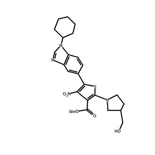 COC(=O)c1c(N2CCC(CO)C2)sc(-c2ccc3c(c2)ncn3C2CCCCC2)c1[N+](=O)[O-]